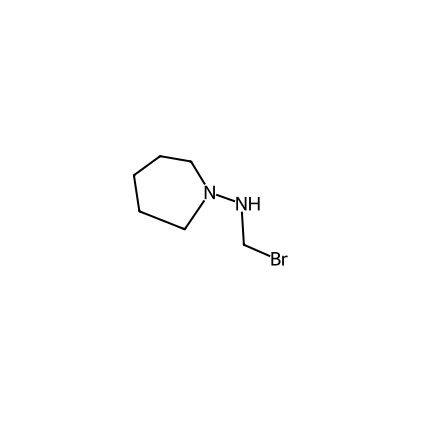 BrCNN1CCCCC1